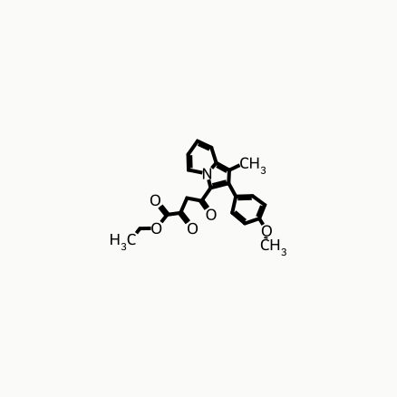 CCOC(=O)C(=O)CC(=O)c1c(-c2ccc(OC)cc2)c(C)c2ccccn12